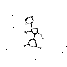 CCSc1nn(-c2ncccn2)c(N)c1-c1cc(Cl)cc(C(F)(F)F)c1